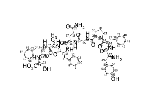 C[C@H](NC(=O)[C@H](Cc1ccccc1)NC(=O)[C@H](CCC(N)=O)NC(=O)CNC(=O)[C@@H]1CCCN1C(=O)[C@H](Cc1ccccc1)NC(=O)[C@@H](N)Cc1ccc(O)cc1)C(=O)N[C@@H](Cc1ccccc1)C(=O)N[C@@H](CO)C(=O)O